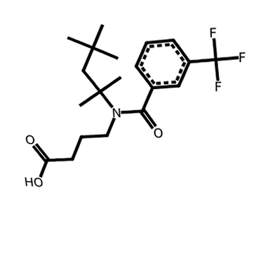 CC(C)(C)CC(C)(C)N(CCCC(=O)O)C(=O)c1cccc(C(F)(F)F)c1